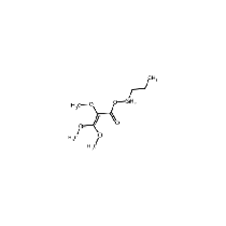 CCC[SiH2]OC(=O)C(OC)=C(OC)OC